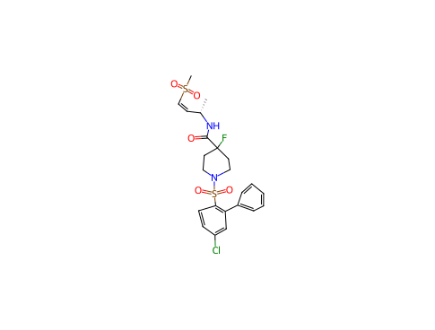 C[C@@H](/C=C\S(C)(=O)=O)NC(=O)C1(F)CCN(S(=O)(=O)c2ccc(Cl)cc2-c2ccccc2)CC1